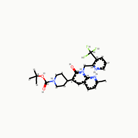 Cc1ccc2cc(C3CCN(C(=O)OC(C)(C)C)CC3)c(=O)n(Cc3ncccc3C(F)(F)F)c2n1